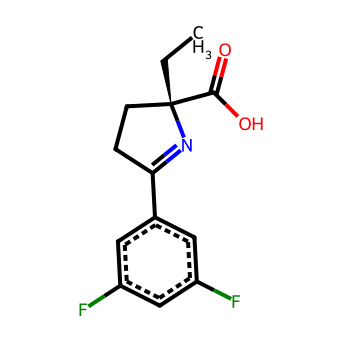 CC[C@]1(C(=O)O)CCC(c2cc(F)cc(F)c2)=N1